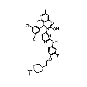 Cc1cc(C)c(C(c2cc(Cl)cc(Cl)c2)N(C(=O)O)c2ccnc(Nc3ccc(OCCN4CCN(C(C)C)CC4)c(F)c3)n2)c(C)c1